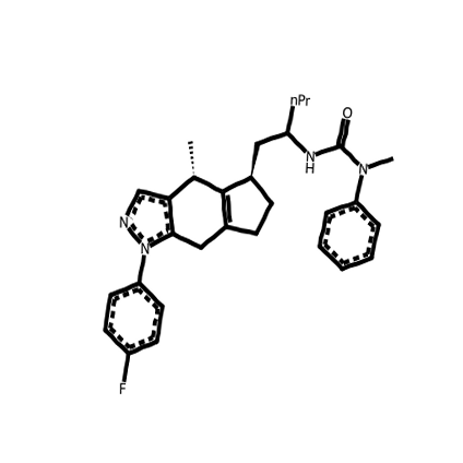 CCCC(C[C@H]1CCC2=C1[C@@H](C)c1cnn(-c3ccc(F)cc3)c1C2)NC(=O)N(C)c1ccccc1